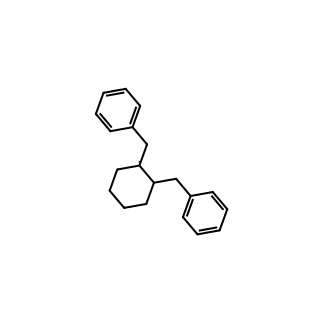 c1ccc(C[C]2CCCCC2Cc2ccccc2)cc1